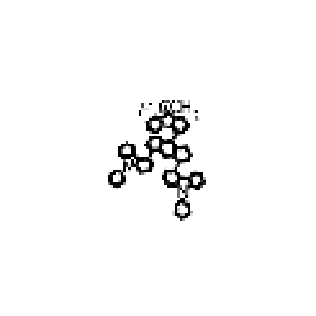 CC1(C)c2ccccc2-c2c(-c3c4cccc(-c5cccc6c5c5ccccc5n6-c5ccccc5)c4cc4c(-c5cccc6c5c5ccccc5n6-c5ccccc5)cccc34)cccc21